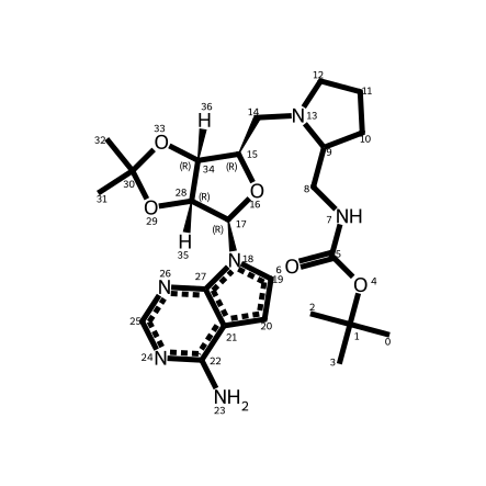 CC(C)(C)OC(=O)NCC1CCCN1C[C@H]1O[C@@H](n2ccc3c(N)ncnc32)[C@@H]2OC(C)(C)O[C@@H]21